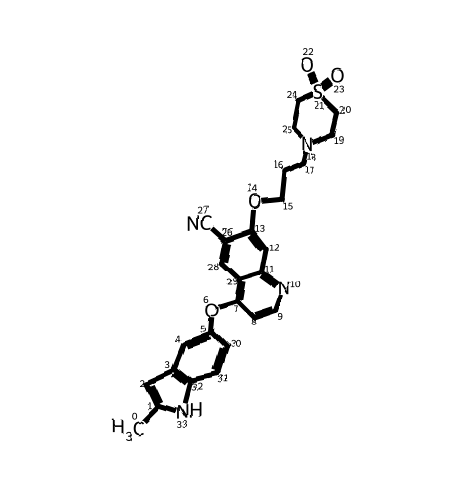 Cc1cc2cc(Oc3ccnc4cc(OCCCN5CCS(=O)(=O)CC5)c(C#N)cc34)ccc2[nH]1